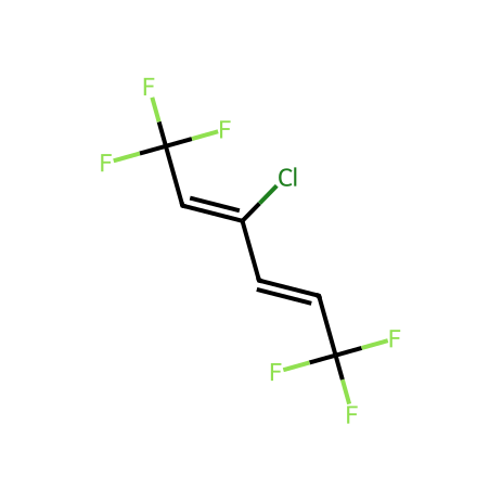 FC(F)(F)C=CC(Cl)=CC(F)(F)F